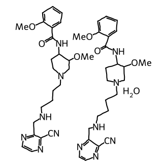 COc1ccccc1C(=O)NC1CCN(CCCCNCc2nccnc2C#N)CC1OC.COc1ccccc1C(=O)NC1CCN(CCCCNCc2nccnc2C#N)CC1OC.O